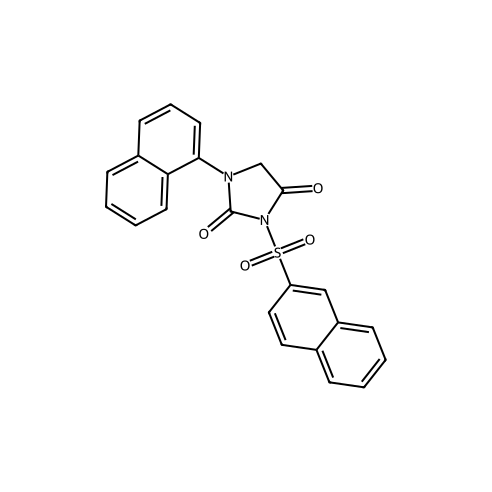 O=C1CN(c2cccc3ccccc23)C(=O)N1S(=O)(=O)c1ccc2ccccc2c1